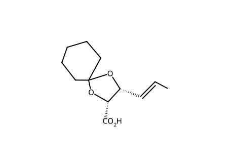 CC=C[C@H]1OC2(CCCCC2)O[C@H]1C(=O)O